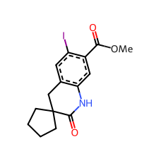 COC(=O)c1cc2c(cc1I)CC1(CCCC1)C(=O)N2